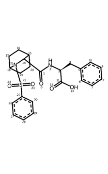 O=C(N[C@@H](Cc1ccccc1)C(=O)O)C1C2CCC(CC2)N1S(=O)(=O)c1ccccc1